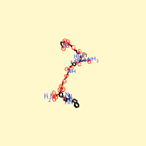 CC(C)[C@@H](NC(=O)CCCOCCC(=O)ON1C(=O)CCC1=O)C(=O)N[C@H](CCCNC(N)=O)C(=O)Nc1ccc(COC(=O)NCCOCCOCCOC(=O)O[C@H]2C[C@H](n3ccc4c(N[C@H]5CCc6ccccc65)ncnc43)C[C@H]2COS(N)(=O)=O)cc1